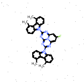 Cc1cccc2c1c1c(C)cccc1n2C1=NC2=CC(F)=CC3=NC(n4c5cccc(C)c5c5c(C)cccc54)=NC(=N1)N23